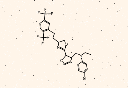 CCC(CC1N=[C]OC1C1=NC(CCc2cc(C(F)(F)F)ccc2C(F)(F)F)CO1)c1ccc(Cl)cc1